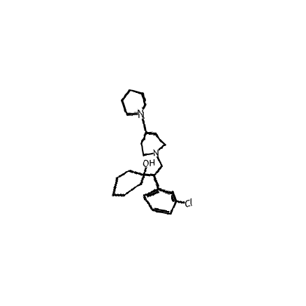 OC1(C(CN2CCC(N3CCCCC3)CC2)c2cccc(Cl)c2)CCCCC1